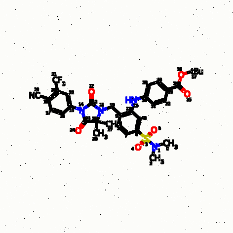 CN(C)S(=O)(=O)c1ccc(CN2C(=O)N(c3ccc(C#N)c(C(F)(F)F)c3)C(=O)C2(C)C)c(Nc2ccc(C(=O)OC(C)(C)C)cc2)c1